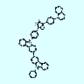 c1ccc(-n2c3ccccc3c3cc(-c4ccc5c(c4)c4ccccc4n5-c4ccc(-c5nnc(-c6ccc(-c7cccc8ccccc78)cc6)o5)cc4)ccc32)cc1